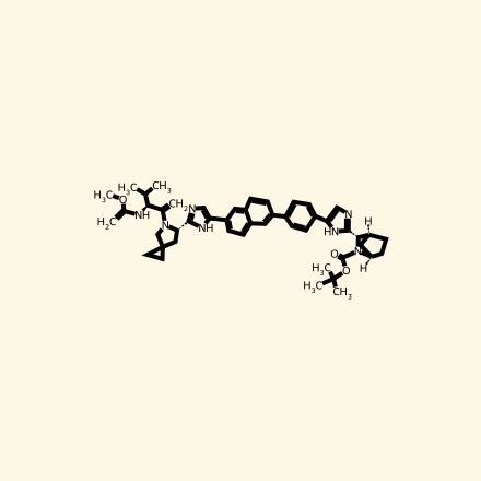 C=C(N[C@H](C(=C)N1CC2(CC2)C[C@H]1c1ncc(-c2ccc3cc(-c4ccc(-c5cnc([C@@H]6[C@H]7CC[C@H](C7)N6C(=O)OC(C)(C)C)[nH]5)cc4)ccc3c2)[nH]1)C(C)C)OC